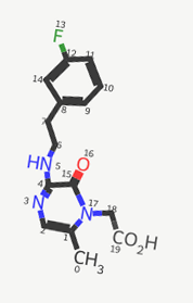 Cc1cnc(NCCc2cccc(F)c2)c(=O)n1CC(=O)O